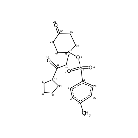 Cc1ccc(S(=O)(=O)OS2(CC(=O)C3CCCC3)CCC(=O)CC2)cc1